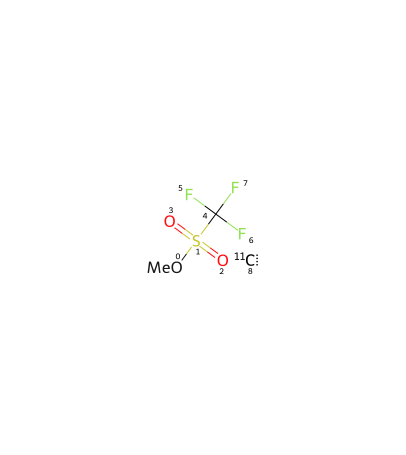 COS(=O)(=O)C(F)(F)F.[11C]